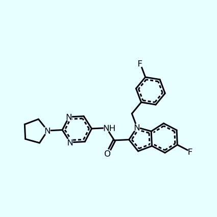 O=C(Nc1cnc(N2CCCC2)nc1)c1cc2cc(F)ccc2n1Cc1cccc(F)c1